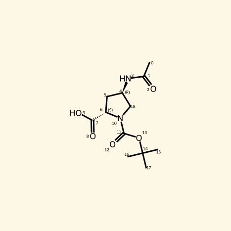 CC(=O)N[C@@H]1C[C@@H](C(=O)O)N(C(=O)OC(C)(C)C)C1